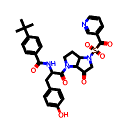 CC(C)(C)c1ccc(C(=O)NC(Cc2ccc(O)cc2)C(=O)N2CCC3C2C(=O)CN3S(=O)(=O)C(=O)c2cccnc2)cc1